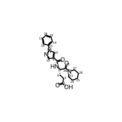 O=C(O)CC[C@H](NC(=O)c1cnn(-c2ccccc2)c1)C(=O)N1CCCCC1